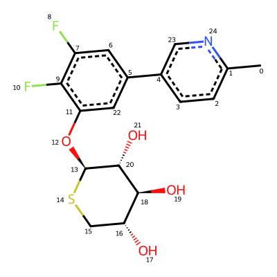 Cc1ccc(-c2cc(F)c(F)c(O[C@@H]3SC[C@@H](O)[C@H](O)[C@H]3O)c2)cn1